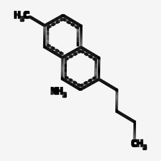 CCCCc1ccc2cc(C)ccc2c1.N